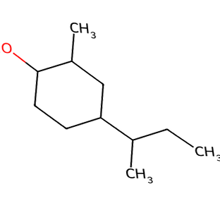 CCC(C)C1CCC(O)C(C)C1